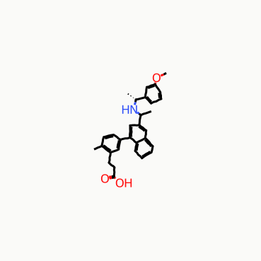 COc1cccc([C@@H](C)NC(C)c2cc(-c3ccc(C)c(CCC(=O)O)c3)c3ccccc3c2)c1